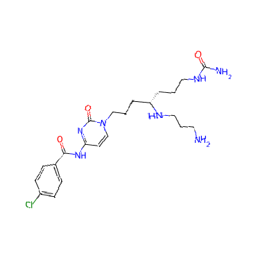 NCCCN[C@@H](CCCNC(N)=O)CCCn1ccc(NC(=O)c2ccc(Cl)cc2)nc1=O